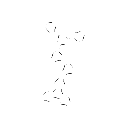 c1ccc(-c2nc(-c3ccccc3)nc(-c3cccc(-c4cccc5c4sc4cc6c7ccccc7c7ccccc7c6cc45)c3)n2)cc1